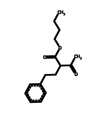 CCCCOC(=O)C(CCc1ccccc1)C(C)=O